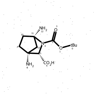 CC(C)(C)OC(=O)N1[C@H](C(=O)O)[C@@]2(N)CC[C@]1(N)C2